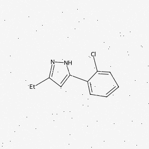 CCc1[c]c(-c2ccccc2Cl)[nH]n1